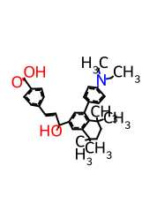 CCN(CC)c1ccc(-c2cc(C(O)C=Cc3ccc(C(=O)O)cc3)cc3c2C(C)(C)CCC3(C)C)cc1